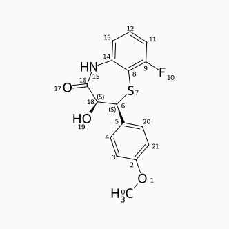 COc1ccc([C@@H]2Sc3c(F)cccc3NC(=O)[C@@H]2O)cc1